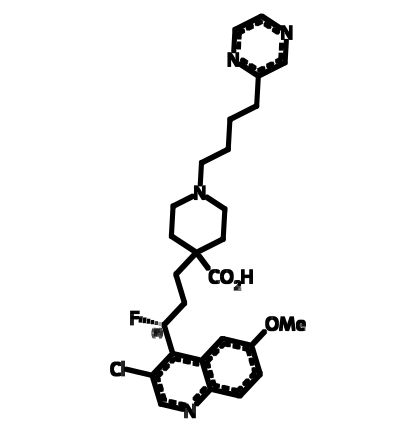 COc1ccc2ncc(Cl)c([C@H](F)CCC3(C(=O)O)CCN(CCCCc4cnccn4)CC3)c2c1